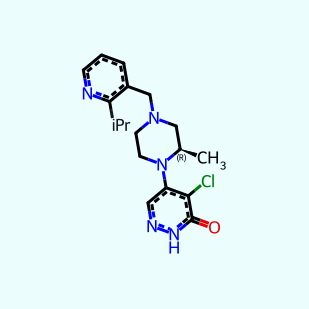 CC(C)c1ncccc1CN1CCN(c2cn[nH]c(=O)c2Cl)[C@H](C)C1